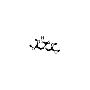 COC(CN(CC(OC)OC)C(=S)S)OC